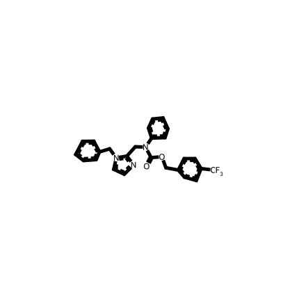 O=C(OCc1ccc(C(F)(F)F)cc1)N(Cc1nccn1Cc1ccccc1)c1ccccc1